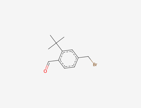 CC(C)(C)c1cc(CBr)ccc1C=O